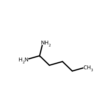 CCCC[C](N)N